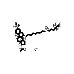 CC(=O)O[C@H]1CC[C@H]2[C@@H]3[C@H](CCCCCCCCC[S+]([O-])CCCC(F)(F)C(F)(F)F)Cc4cc([B-](F)(F)F)ccc4[C@H]3CC[C@]12C.[K+]